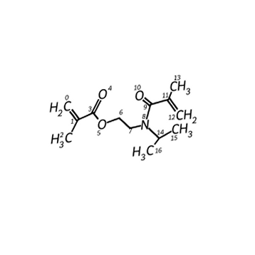 C=C(C)C(=O)OCCN(C(=O)C(=C)C)C(C)C